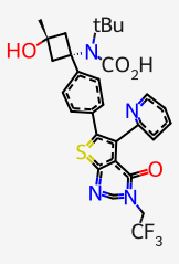 CC(C)(C)N(C(=O)O)[C@]1(c2ccc(-c3sc4ncn(CC(F)(F)F)c(=O)c4c3-c3ccccn3)cc2)C[C@](C)(O)C1